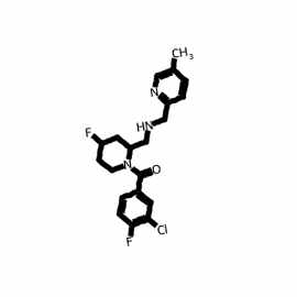 Cc1ccc(CNCC2CC(F)CCN2C(=O)c2ccc(F)c(Cl)c2)nc1